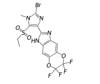 CCS(=O)(=O)c1c(-c2nc3cc4c(cc3[nH]2)OC(F)(F)C(F)(F)O4)nc(Br)n1C